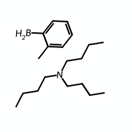 Bc1ccccc1C.CCCCN(CCCC)CCCC